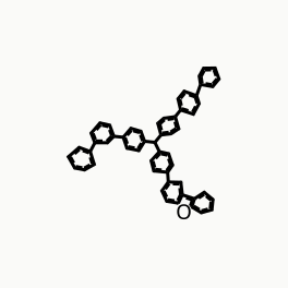 c1ccc(-c2ccc(-c3ccc(C(c4ccc(-c5cccc(-c6ccccc6)c5)cc4)c4ccc(-c5ccc6oc7ccccc7c6c5)cc4)cc3)cc2)cc1